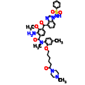 COc1c(C(=O)c2cccc3c2ncn3NS(=O)(=O)c2ccccc2)ccc(C(=O)N(C)c2ccc(C)cc2OCCCCCC(=O)N2CCN(C)CC2)c1N